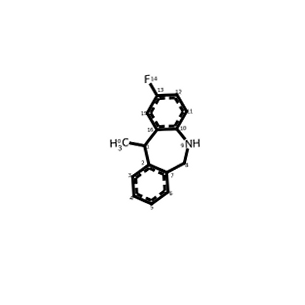 CC1c2ccccc2CNc2ccc(F)cc21